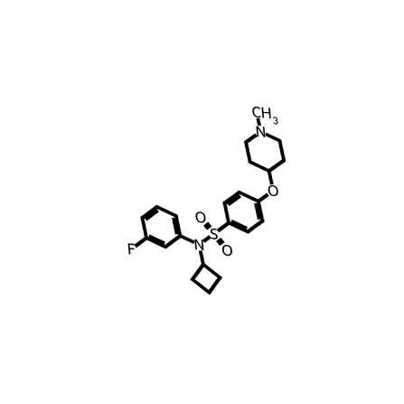 CN1CCC(Oc2ccc(S(=O)(=O)N(c3cccc(F)c3)C3CCC3)cc2)CC1